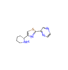 c1cnc(-c2nc(C3CCCCN3)cs2)cn1